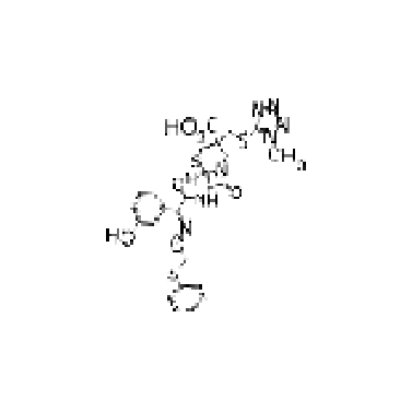 Cn1nnnc1SCC1(C(=O)O)CS[C@@H]2C(NC(=O)C(=NOCSc3ccccc3)c3cccc(O)c3)C(=O)N2C1